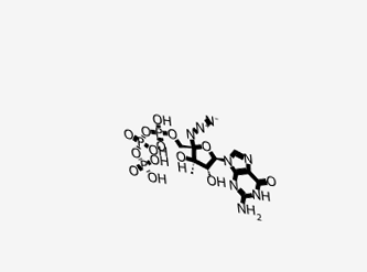 C[C@@]1(O)[C@@H](O)[C@H](n2cnc3c(=O)[nH]c(N)nc32)O[C@@]1(COP(=O)(O)OP(=O)(O)OP(=O)(O)O)N=[N+]=[N-]